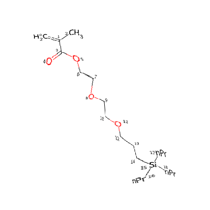 C=C(C)C(=O)OCCOCCOCCC[Si](CCC)(CCC)CCC